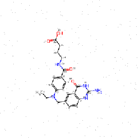 CCN(Cc1ccc2nc(N)[nH]c(=O)c2c1)c1ccc(C(=O)NCCCC(=O)O)cc1